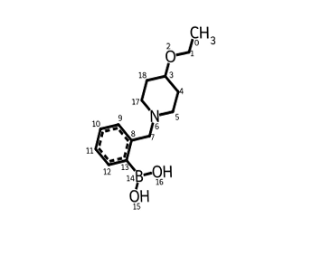 CCOC1CCN(Cc2ccccc2B(O)O)CC1